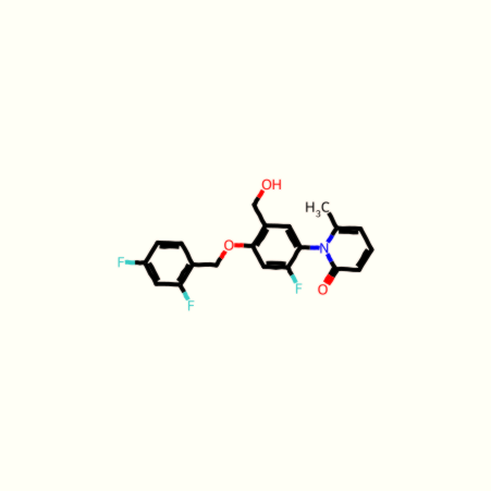 Cc1cccc(=O)n1-c1cc(CO)c(OCc2ccc(F)cc2F)cc1F